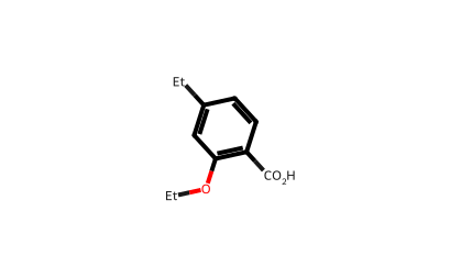 CCOc1cc(CC)ccc1C(=O)O